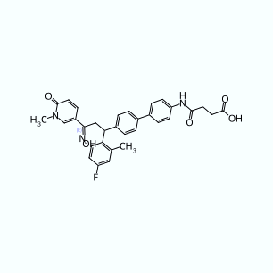 Cc1cc(F)ccc1C(C/C(=N\O)c1ccc(=O)n(C)c1)c1ccc(-c2ccc(NC(=O)CCC(=O)O)cc2)cc1